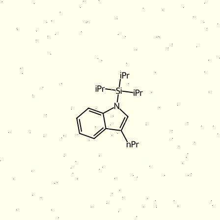 C[CH]Cc1cn([Si](C(C)C)(C(C)C)C(C)C)c2ccccc12